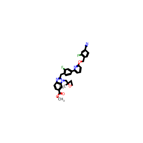 COC(=O)c1ccc2nc(Cc3ccc(-c4cccc(OCc5ccc(C#N)cc5F)n4)cc3F)n(CC3(C)CCO3)c2c1